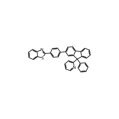 c1ccc(C2(c3ccccn3)c3ccccc3-c3ccc(-c4ccc(-c5nc6ccccc6s5)cc4)cc32)cc1